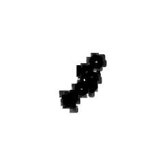 C=CN/C=C\c1c(Cc2ccc(B3CC(C)(C)C(C)(C)C3)cc2)cncc1-c1ccccc1